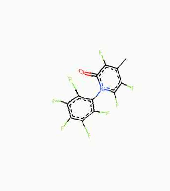 Cc1c(F)c(F)n(-c2c(F)c(F)c(F)c(F)c2F)c(=O)c1F